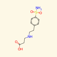 NS(=O)(=O)c1ccc(CCNCCC(=O)O)cc1